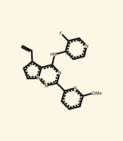 C=Cc1ccn2nc(-c3cccc(OC)n3)nc(Nc3ccncc3F)c12